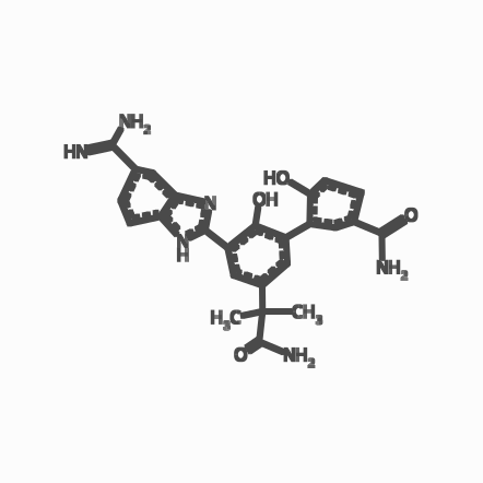 CC(C)(C(N)=O)c1cc(-c2nc3cc(C(=N)N)ccc3[nH]2)c(O)c(-c2cc(C(N)=O)ccc2O)c1